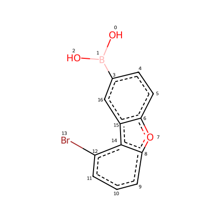 OB(O)c1ccc2oc3cccc(Br)c3c2c1